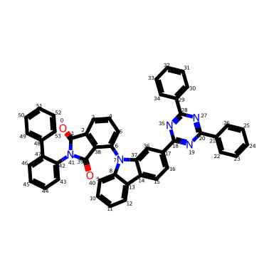 O=C1c2cccc(-n3c4ccccc4c4ccc(-c5nc(-c6ccccc6)nc(-c6ccccc6)n5)cc43)c2C(=O)N1c1ccccc1-c1ccccc1